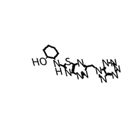 O[C@@H]1CCCC[C@H]1Nc1nc2nnc(Cn3cnc4nnnnc43)nc2s1